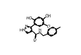 Cc1ccc(CNC(=O)c2c[nH]nc2-c2cc(Cl)c(O)cc2O)cc1